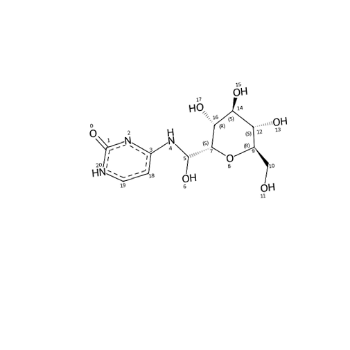 O=c1nc(NC(O)[C@H]2O[C@H](CO)[C@@H](O)[C@H](O)[C@H]2O)cc[nH]1